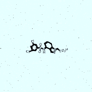 O=C(O)Cn1ncc2c1CCCC2NS(=O)(=O)c1cc(Cl)cc(Cl)c1